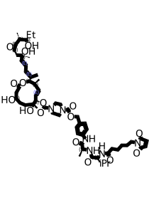 CC[C@H](O)[C@@H](C)[C@H]1O[C@@H]1C[C@@](C)(O)/C=C/C=C(\C)[C@H]1OC(=O)C[C@H](O)CC[C@@](C)(O)[C@@H](OC(=O)N2CCN(C(=O)OCc3ccc(NC(=O)[C@H](C)NC(=O)[C@@H](NC(=O)CCCCCN4C(=O)C=CC4=O)C(C)C)cc3)CC2)/C=C/[C@@H]1C